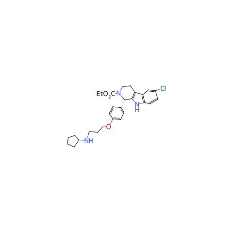 CCOC(=O)N1CCc2c([nH]c3ccc(Cl)cc23)[C@@H]1c1ccc(OCCCNC2CCCC2)cc1